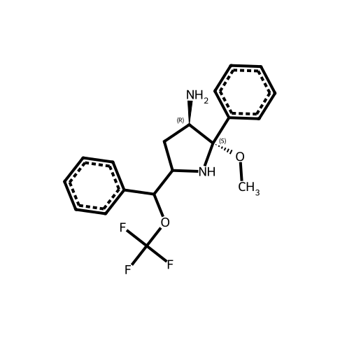 CO[C@]1(c2ccccc2)NC(C(OC(F)(F)F)c2ccccc2)C[C@H]1N